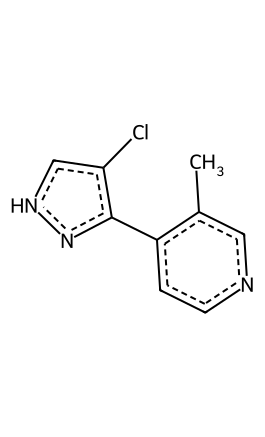 Cc1cnccc1-c1n[nH]cc1Cl